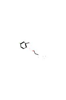 COCCCOB1OCc2cc(F)ccc21